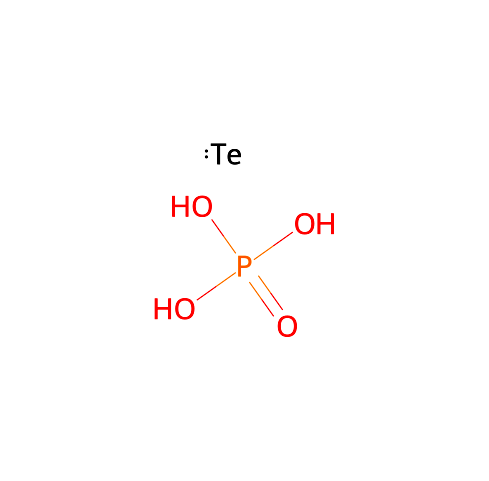 O=P(O)(O)O.[Te]